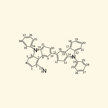 N#Cc1cccc2c1c1cc(-c3ccc4c(c3)c3ccccc3n4-c3ccccc3)ccc1n2-c1ccccc1